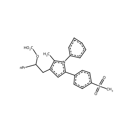 CCCC(Cc1cc(-c2ccc(S(C)(=O)=O)cc2)n(-c2ccccc2)c1C)OC(=O)O